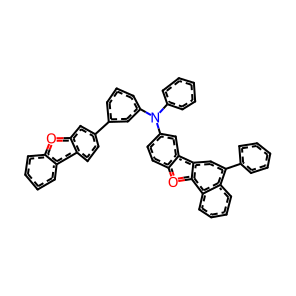 c1ccc(-c2cc3c4cc(N(c5ccccc5)c5cccc(-c6ccc7c(c6)oc6ccccc67)c5)ccc4oc3c3ccccc23)cc1